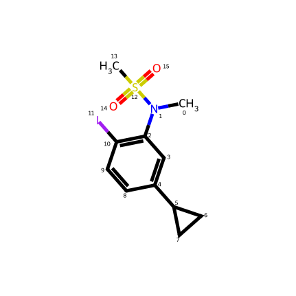 CN(c1cc(C2CC2)ccc1I)S(C)(=O)=O